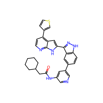 O=C(CC1CCCCC1)Nc1cncc(-c2ccc3[nH]nc(-c4cc5c(-c6ccsc6)ccnc5[nH]4)c3c2)c1